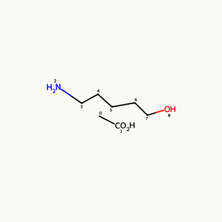 CC(=O)O.NCCCCCO